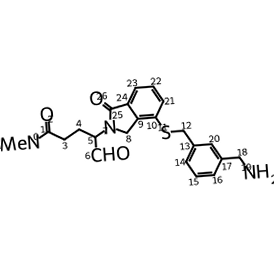 CNC(=O)CCC(C=O)N1Cc2c(SCc3cccc(CN)c3)cccc2C1=O